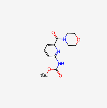 CC(C)(C)OC(=O)Nc1cccc(C(=O)N2CCOCC2)n1